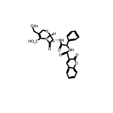 CC(=O)OCC1=C(C(=O)O)N2C(=O)[C@@H](NC(=O)C(NC(=O)c3cc4ccccc4oc3=O)c3ccccc3)[C@H]2SC1